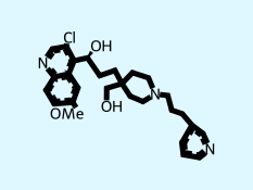 COc1ccc2ncc(Cl)c([C@@H](O)CCC3(CO)CCN(CCCc4cccnc4)CC3)c2c1